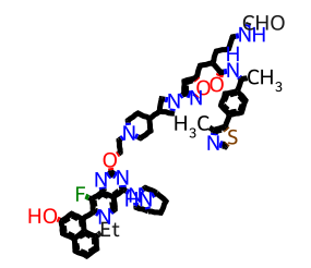 CCc1cccc2cc(O)cc(-c3ncc4c(N5CC6CCC(C5)N6)nc(OCCN5CCC(C6CN(c7cc(CC(CCCNC=O)C(=O)NC(C)c8ccc(-c9scnc9C)cc8)on7)C6)CC5)nc4c3F)c12